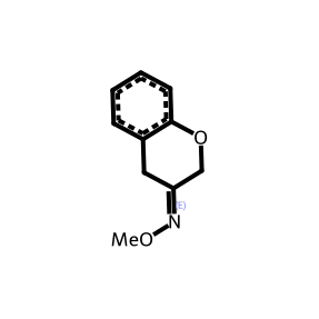 CO/N=C1/COc2ccccc2C1